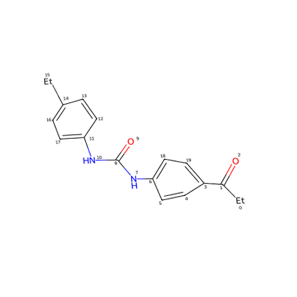 CCC(=O)c1ccc(NC(=O)Nc2ccc(CC)cc2)cc1